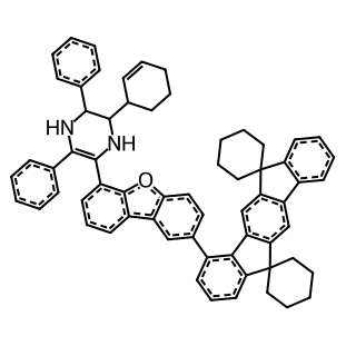 C1=CC(C2NC(c3cccc4c3oc3ccc(-c5cccc6c5-c5cc7c(cc5C65CCCCC5)-c5ccccc5C75CCCCC5)cc34)=C(c3ccccc3)NC2c2ccccc2)CCC1